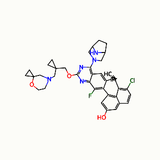 C#Cc1c(Cl)ccc2cc(O)cc(-c3c(C(C)C)cc4c(N5CC6CCC(C5)N6)nc(OCC5(CN6CCOC7(CC7)C6)CC5)nc4c3F)c12